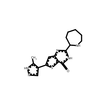 Cc1[nH]ncc1-c1cc2nc(C3CCCCCN3)[nH]c(=O)c2s1